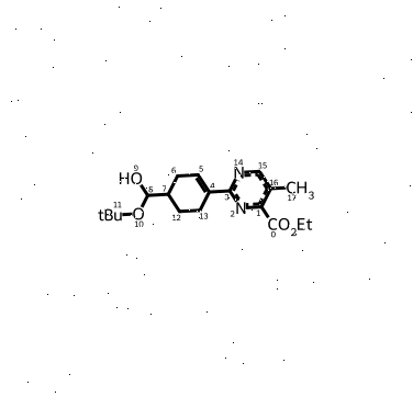 CCOC(=O)c1nc(C2=CCC(C(O)OC(C)(C)C)CC2)ncc1C